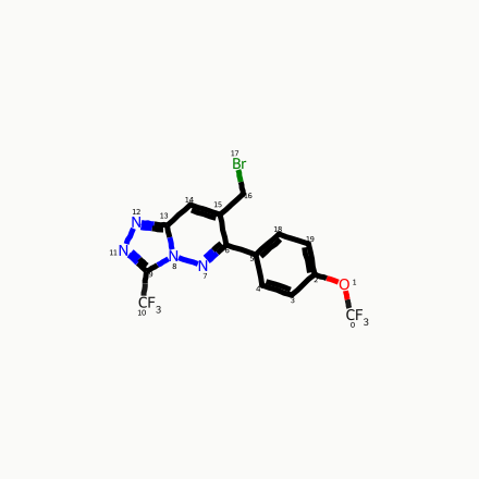 FC(F)(F)Oc1ccc(-c2nn3c(C(F)(F)F)nnc3cc2CBr)cc1